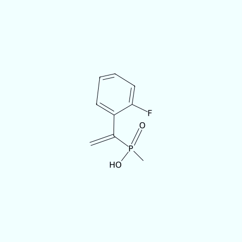 C=C(c1ccccc1F)P(C)(=O)O